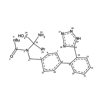 CCCCC(=O)N(Cc1ccc(-c2ccccc2-c2nnn[nH]2)cc1)C(N)(C(=O)O)C(C)C